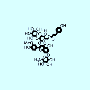 COc1cc(-c2oc3cc(O[C@@H]4OC(C)[C@H](O)C(O)[C@@H]4O)cc(O)c3c(=O)c2O[C@@H]2OC(COC(=O)/C=C/c3ccc(O)cc3)[C@@H](O)C(O)[C@@H]2O[C@@H]2OC(C)[C@H](O)C(O)[C@@H]2O)ccc1O